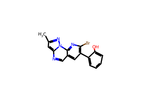 Cc1cc2ncc3cc(-c4ccccc4O)c(Br)nc3n2n1